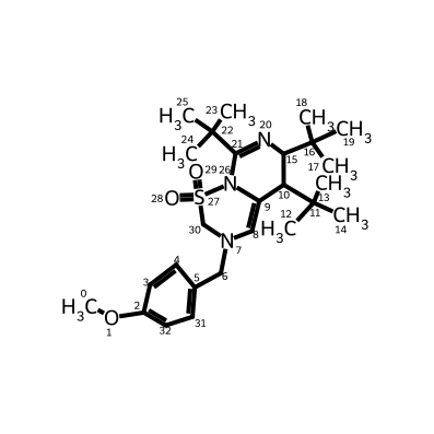 COc1ccc(CN2C=C3C(C(C)(C)C)C(C(C)(C)C)N=C(C(C)(C)C)N3S(=O)(=O)C2)cc1